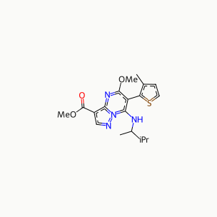 COC(=O)c1cnn2c(NC(C)C(C)C)c(-c3sccc3C)c(OC)nc12